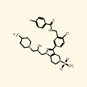 CS(=O)(=O)N1CCc2c(c(-c3ccc(Cl)c(CNC(=O)c4ccc(F)cc4)c3)nn2CC(O)CN2CCC(C(F)(F)F)CC2)C1